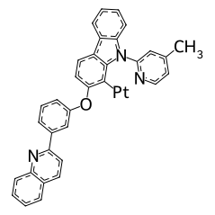 Cc1ccnc(-n2c3ccccc3c3ccc(Oc4cccc(-c5ccc6ccccc6n5)c4)[c]([Pt])c32)c1